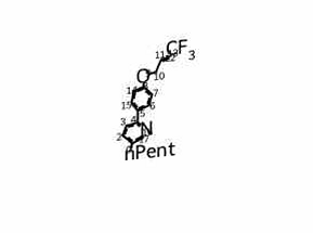 CCCCCc1ccc(-c2ccc(OC/C=C/C(F)(F)F)cc2)nc1